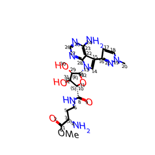 COC(=O)[C@@H](N)CCNC(=O)[C@H]1O[C@@H](n2cc(-c3ccn(C)n3)c3c(N)ncnc32)[C@H](O)[C@@H]1O